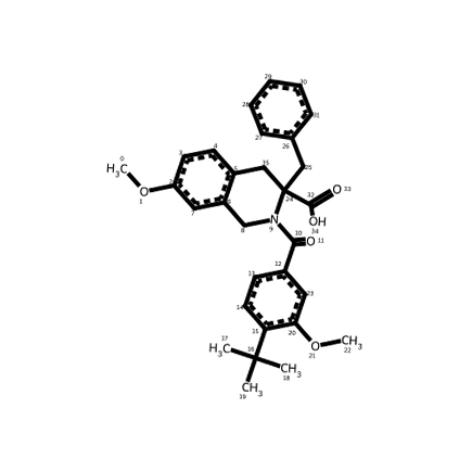 COc1ccc2c(c1)CN(C(=O)c1ccc(C(C)(C)C)c(OC)c1)C(Cc1ccccc1)(C(=O)O)C2